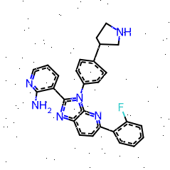 Nc1ncccc1-c1nc2ccc(-c3ccccc3F)nc2n1-c1ccc(C2CCNC2)cc1